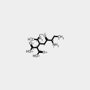 CCC(N)C(=O)CC(C(C)C)C(C(=O)O)C(=O)O